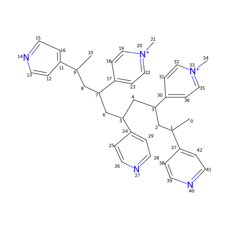 CC(CC(CC(CC(CC(C)c1ccncc1)c1cc[n+](C)cc1)c1ccncc1)c1cc[n+](C)cc1)c1ccncc1